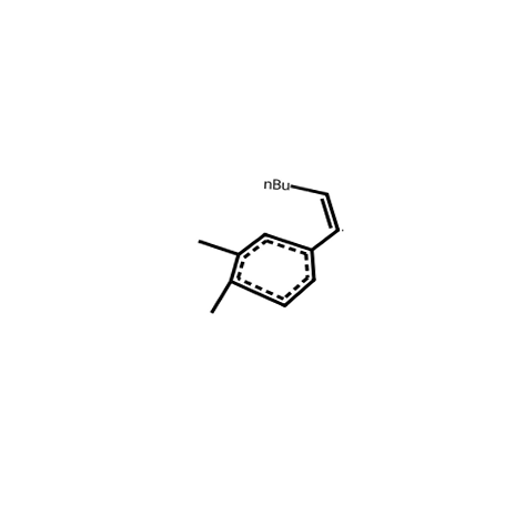 CCCC/C=[C]\c1ccc(C)c(C)c1